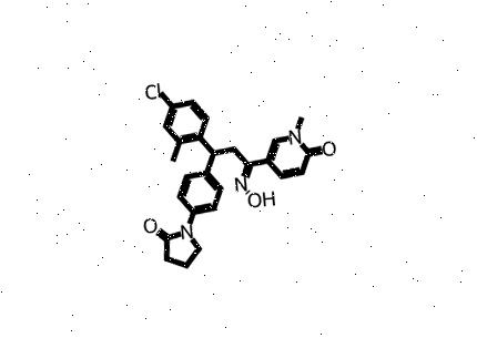 Cc1cc(Cl)ccc1C(CC(=NO)c1ccc(=O)n(C)c1)c1ccc(N2CCCC2=O)cc1